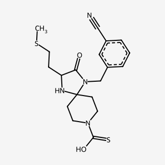 CSCCC1NC2(CCN(C(O)=S)CC2)N(Cc2cccc(C#N)c2)C1=O